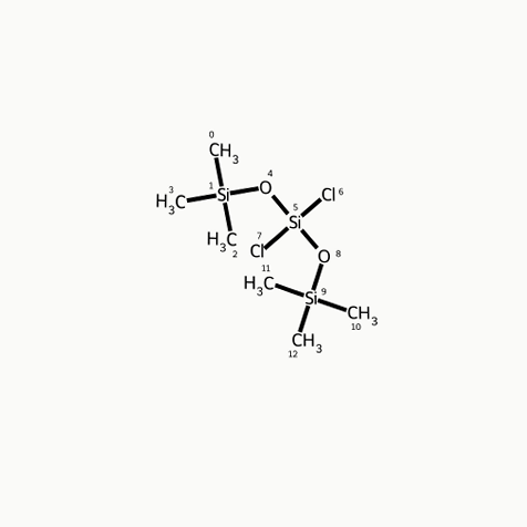 C[Si](C)(C)O[Si](Cl)(Cl)O[Si](C)(C)C